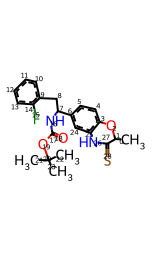 CC1Oc2ccc(C(Cc3ccccc3F)NC(=O)OC(C)(C)C)cc2NC1=S